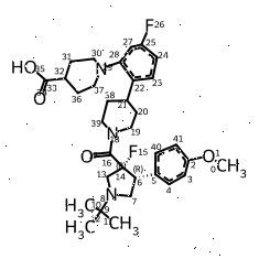 COc1ccc([C@@H]2CN(C(C)(C)C)C[C@@]2(F)C(=O)N2CCC(c3ccc(F)cc3N3CCC(C(=O)O)CC3)CC2)cc1